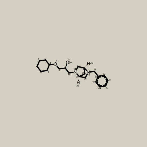 O[C@H](COC1CCCCC1)CN1C[C@@H]2C[C@H]1CN2Cc1ccccc1